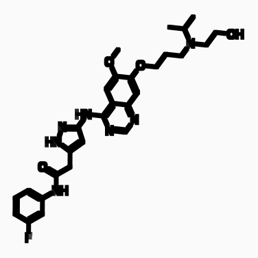 COc1cc2c(Nc3cc(CC(=O)Nc4cccc(F)c4)[nH]n3)ncnc2cc1OCCCN(CCO)C(C)C